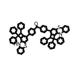 O=C(c1ccc(-c2cc3c(c4c2C(c2ccccc2)C4(c2ccccc2)c2ccccc2)Nc2ccccc2S3)cc1)c1ccc(-c2cc3c(c4c2C(c2ccccc2)C4(c2ccccc2)c2ccccc2)Nc2ccccc2S3)cc1